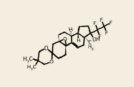 CC1(C)COC2(CC[C@]34O[C@]3(CC[C@@H]3C4=CC[C@@]4(C)[C@H]3CCC4(O)C(F)(F)C(F)(F)F)C2)OC1